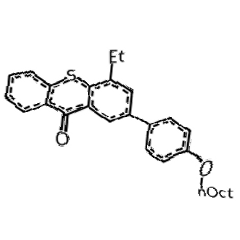 CCCCCCCCOc1ccc(-c2cc(CC)c3sc4ccccc4c(=O)c3c2)cc1